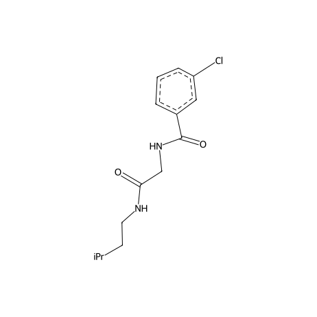 CC(C)CCNC(=O)CNC(=O)c1cccc(Cl)c1